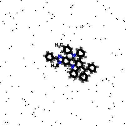 Cc1ccc(N2B3c4cc5nc(-c6ccccc6)n(C)c5cc4-n4c5ccccc5c5c(C(c6ccccc6)c6ccccc6)cc(c3c54)-c3ccccc32)cc1